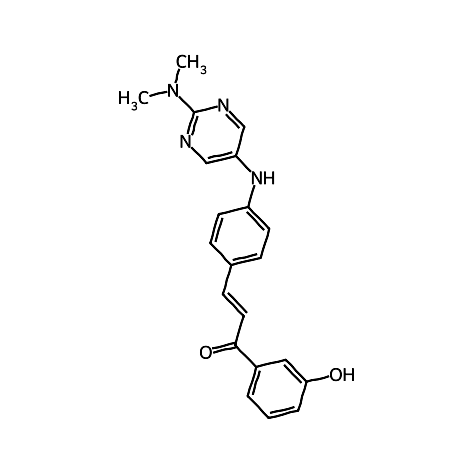 CN(C)c1ncc(Nc2ccc(/C=C/C(=O)c3cccc(O)c3)cc2)cn1